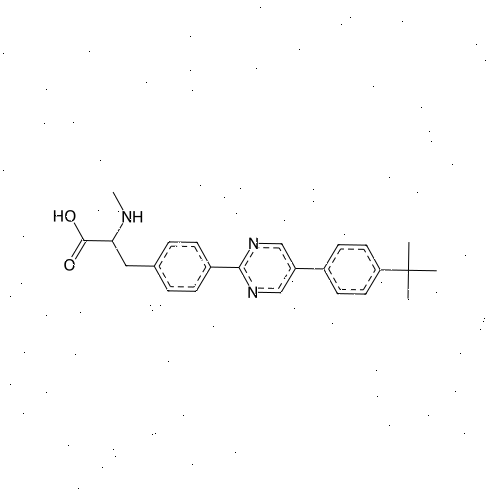 CNC(Cc1ccc(-c2ncc(-c3ccc(C(C)(C)C)cc3)cn2)cc1)C(=O)O